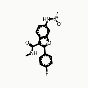 CNC(=O)c1c(-c2ccc(F)cc2)oc2cc(N[S@+](C)[O-])ccc12